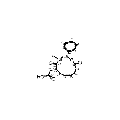 CN1C[C@@H](c2ccccc2)OC(=O)CCC=CC[C@@H](CC(=O)O)C1=O